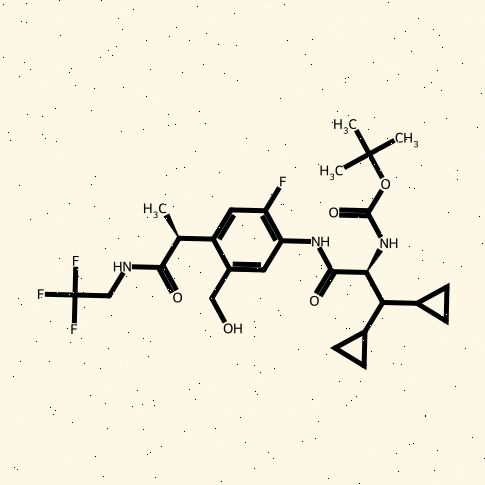 C[C@H](C(=O)NCC(F)(F)F)c1cc(F)c(NC(=O)[C@@H](NC(=O)OC(C)(C)C)C(C2CC2)C2CC2)cc1CO